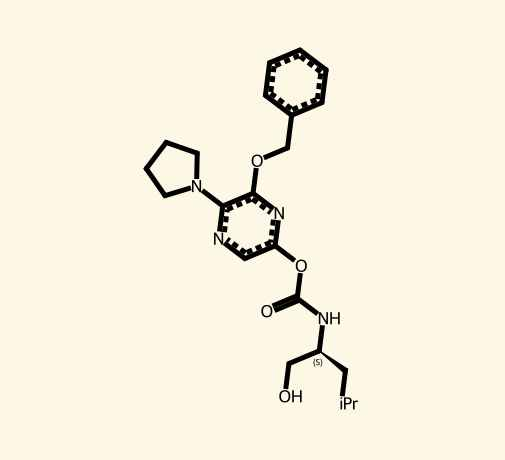 CC(C)C[C@@H](CO)NC(=O)Oc1cnc(N2CCCC2)c(OCc2ccccc2)n1